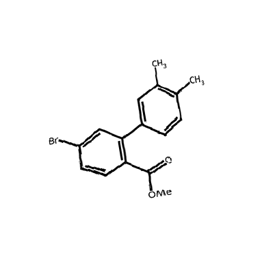 COC(=O)c1ccc(Br)cc1-c1ccc(C)c(C)c1